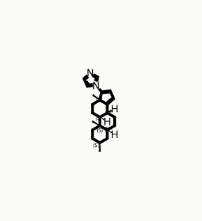 C[C@H]1CC[C@@]2(C)[C@@H](CC[C@H]3C4=CC=C(n5ccnc5)[C@@]4(C)CC[C@@H]32)C1